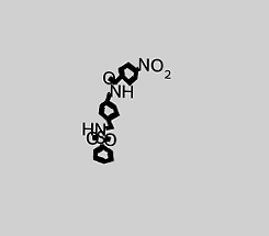 O=C(NCc1ccc(CNS(=O)(=O)c2ccccc2)cc1)c1ccc([N+](=O)[O-])cc1